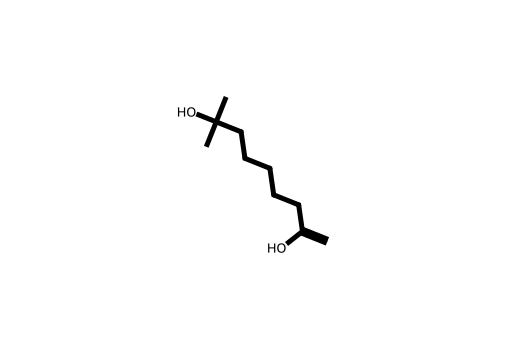 C=C(O)CCCCCC(C)(C)O